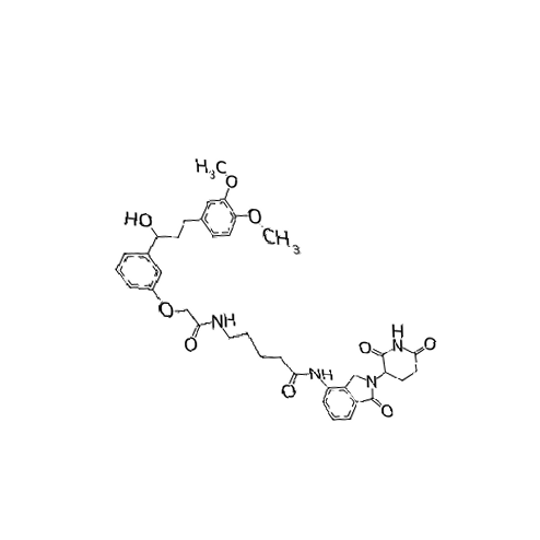 COc1ccc(CCC(O)c2cccc(OCC(=O)NCCCCC(=O)Nc3cccc4c3CN(C3CCC(=O)NC3=O)C4=O)c2)cc1OC